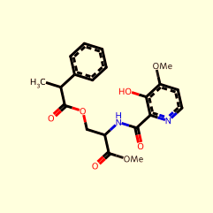 COC(=O)C(COC(=O)C(C)c1ccccc1)NC(=O)c1nccc(OC)c1O